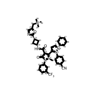 Cn1c(-c2ccnn2-c2ccc(C#N)cc2)c(C(=O)N[C@H]2C[C@H](c3ncc(C[N+](C)(C)C)o3)C2)c(=O)n1-c1cccc(C(F)(F)F)c1.c1ccccc1